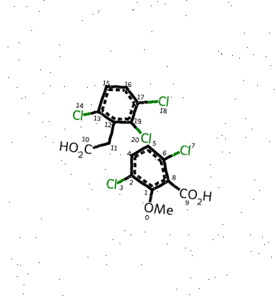 COc1c(Cl)ccc(Cl)c1C(=O)O.O=C(O)Cc1c(Cl)ccc(Cl)c1Cl